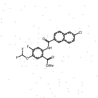 COC(=O)c1cc(OC(F)F)c(F)cc1NC(=O)c1ccc2cc(Cl)ccc2c1